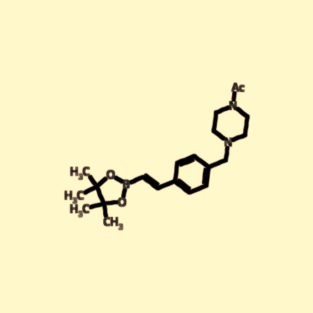 CC(=O)N1CCN(Cc2ccc(C=CB3OC(C)(C)C(C)(C)O3)cc2)CC1